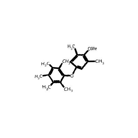 COc1c(C)cc(Oc2c(C)c(C)c(C)c(C)c2C)cc1C